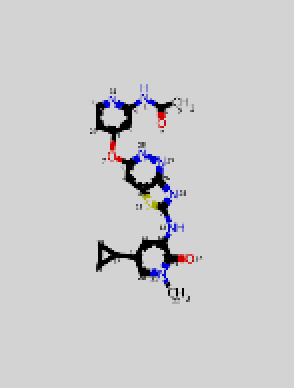 CC(=O)Nc1cc(Oc2cc3sc(Nc4cc(C5CC5)cn(C)c4=O)nc3nn2)ccn1